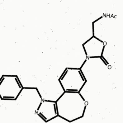 CC(=O)NCC1CN(c2ccc3c(c2)OCCc2cnn(Cc4ccccc4)c2-3)C(=O)O1